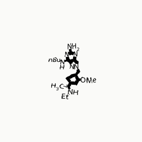 CCCCNc1nc(N)nc2cn(Cc3ccc([C@@H](C)NCC)cc3OC)nc12